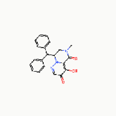 CN1C[C@H](C(c2ccccc2)c2ccccc2)n2ncc(=O)c(O)c2C1=O